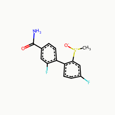 C[S+]([O-])c1cc(F)ccc1-c1ccc(C(N)=O)cc1F